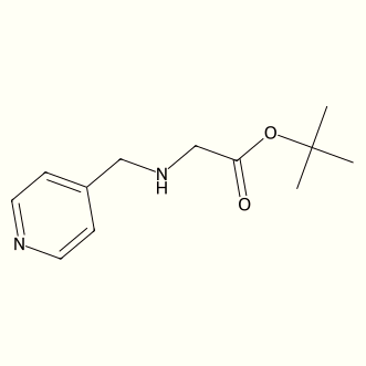 CC(C)(C)OC(=O)CNCc1ccncc1